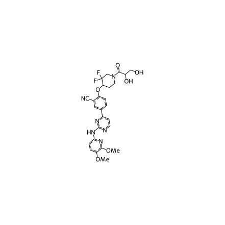 COc1ccc(Nc2nccc(-c3ccc(OC4CCN(C(=O)C(O)CO)CC4(F)F)c(C#N)c3)n2)nc1OC